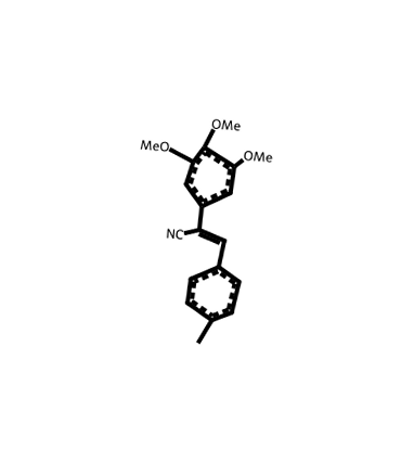 COc1cc(C(C#N)=Cc2ccc(C)cc2)cc(OC)c1OC